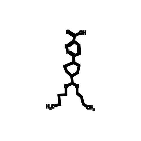 CCCCOC(OCCCC)C1CCN(c2ccc(C(=O)O)nn2)CC1